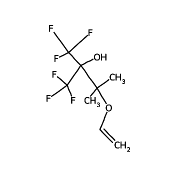 C=COC(C)(C)C(O)(C(F)(F)F)C(F)(F)F